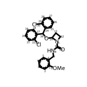 COc1ccccc1CNC(=O)N1CCC1OC(c1ccccc1Cl)c1ccccc1Cl